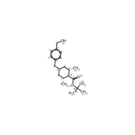 C[C@@H]1CN(Cc2ccc(CO)cc2)C[C@H](C)N1C(=O)OC(C)(C)C